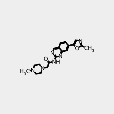 Cc1ncc(-c2ccc3cnc(NC(=O)CN4CCN(C)CC4)nc3c2)o1